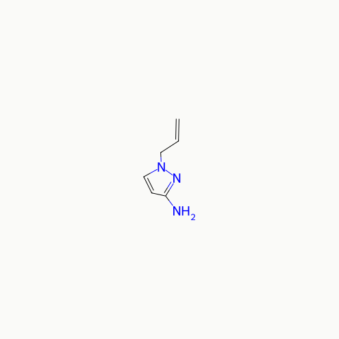 C=CCn1ccc(N)n1